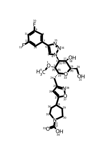 CO[C@@H]1[C@@H](n2cc(-c3cc(F)cc(F)c3)nn2)[C@@H](O)[C@@H](CO)O[C@@H]1Cc1cc(C2CCN(C(=O)O)CC2)on1